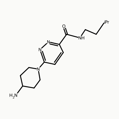 CC(C)CCNC(=O)c1ccc(N2CCC(N)CC2)nn1